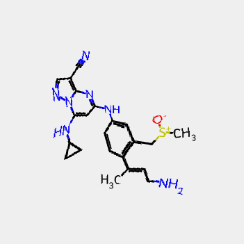 C/C(=C\CN)c1ccc(Nc2cc(NC3CC3)n3ncc(C#N)c3n2)cc1C[S+](C)[O-]